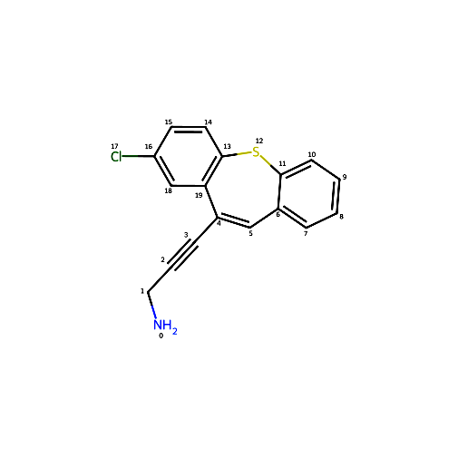 NCC#CC1=Cc2ccccc2Sc2ccc(Cl)cc21